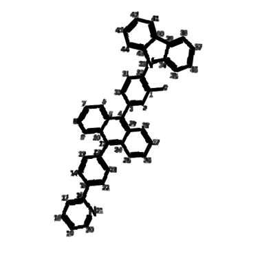 Cc1cc(-c2c3ccccc3c(-c3ccc(-c4ccccn4)cc3)c3ccccc23)ccc1-n1c2ccccc2c2ccccc21